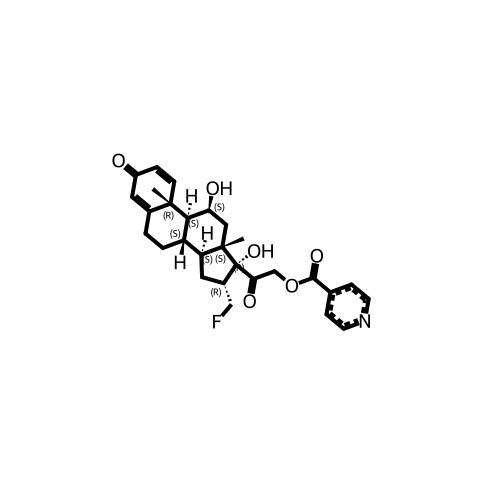 C[C@]12C=CC(=O)C=C1CC[C@@H]1[C@@H]2[C@@H](O)C[C@@]2(C)[C@H]1C[C@@H](CF)[C@]2(O)C(=O)COC(=O)c1ccncc1